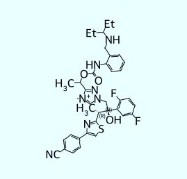 CCC(CC)NCc1ccccc1NC(=O)OC(C)C1=NN(C[C@](O)(c2cc(F)ccc2F)[C@@H](C)c2nc(-c3ccc(C#N)cc3)cs2)C=[N+]1